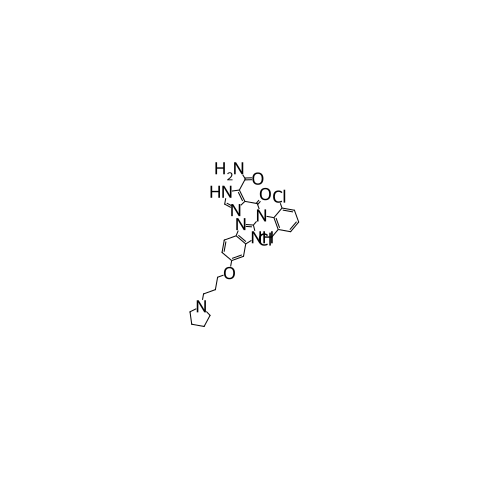 NC(=O)c1[nH]cnc1C(=O)N(c1nc2ccc(OCCCN3CCCC3)cc2[nH]1)c1c(Cl)cccc1Cl